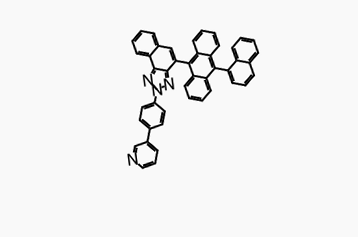 c1cncc(-c2ccc(-n3nc4c(-c5c6ccccc6c(-c6cccc7ccccc67)c6ccccc56)cc5ccccc5c4n3)cc2)c1